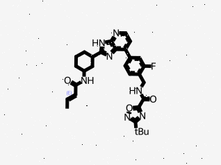 C/C=C/C(=O)NC1CCCC(c2nc3c(-c4ccc(CNC(=O)c5nc(C(C)(C)C)no5)c(F)c4)ccnc3[nH]2)C1